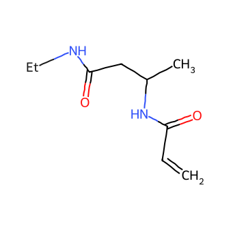 C=CC(=O)NC(C)CC(=O)NCC